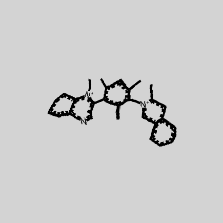 Cc1cc(C)c(-[n+]2cc3ccccc3cc2C)c(C)c1-c1cnc2ccccc2[n+]1C